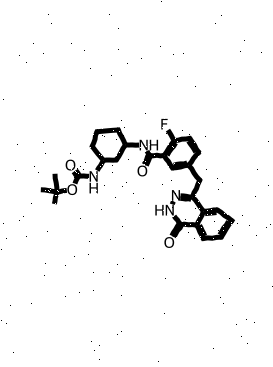 CC(C)(C)OC(=O)NC1CCCC(NC(=O)c2cc(Cc3n[nH]c(=O)c4ccccc34)ccc2F)C1